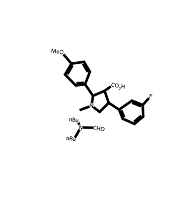 CCCCN(C=O)CCCC.COc1ccc(C2C(C(=O)O)C(c3cccc(F)c3)CN2C)cc1